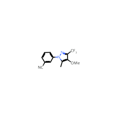 COc1c(C(F)(F)F)nn(-c2cccc(C#N)c2)c1C